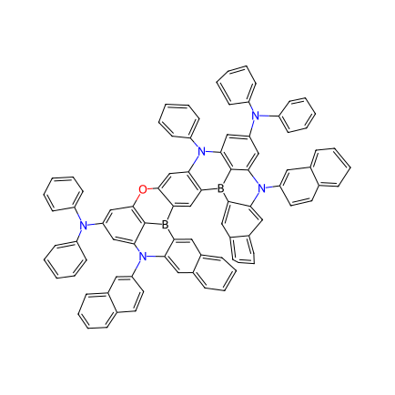 c1ccc(N(c2ccccc2)c2cc3c4c(c2)N(c2ccc5ccccc5c2)c2cc5ccccc5cc2B4c2cc4c(cc2O3)N(c2ccccc2)c2cc(N(c3ccccc3)c3ccccc3)cc3c2B4c2cc4ccccc4cc2N3c2ccc3ccccc3c2)cc1